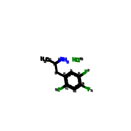 CC(N)Cc1cc(F)c(F)cc1F.Cl